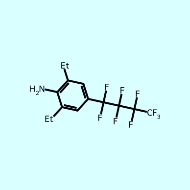 CCc1cc(C(F)(F)C(F)(F)C(F)(F)C(F)(F)F)cc(CC)c1N